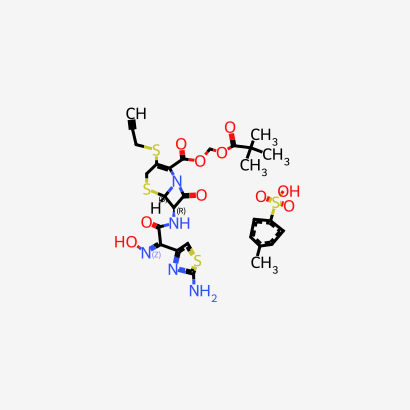 C#CCSC1=C(C(=O)OCOC(=O)C(C)(C)C)N2C(=O)[C@@H](NC(=O)/C(=N\O)c3csc(N)n3)[C@@H]2SC1.Cc1ccc(S(=O)(=O)O)cc1